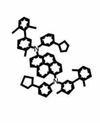 Cc1ccc(-c2c(C)cccc2C)cc1N(c1cccc(C2CCCC2)c1)c1ccc2ccc3c(N(c4cccc(C5CCCC5)c4)c4cc(-c5c(C)cccc5C)ccc4C)ccc4ccc1c2c43